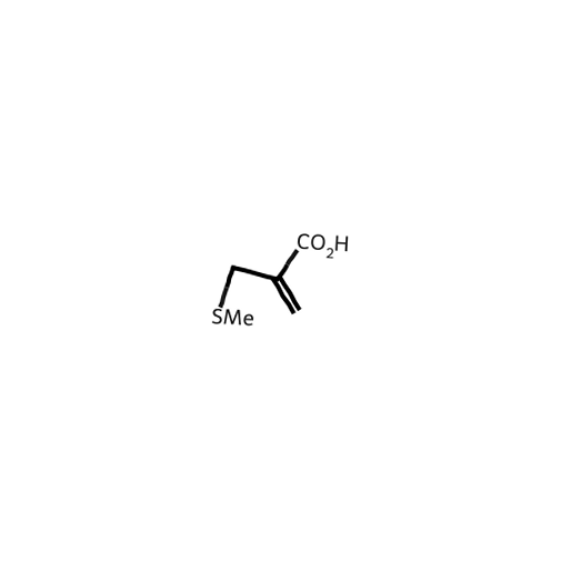 C=C(CSC)C(=O)O